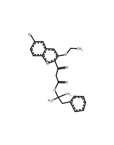 CCSc1cc2cc(Cl)ccc2nc1C(=O)CC(=O)OC(C)(C)Cc1ccccc1